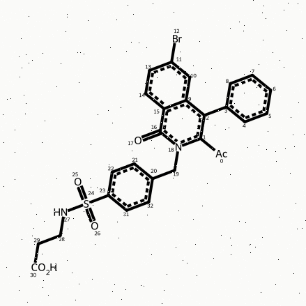 CC(=O)c1c(-c2ccccc2)c2cc(Br)ccc2c(=O)n1Cc1ccc(S(=O)(=O)NCCC(=O)O)cc1